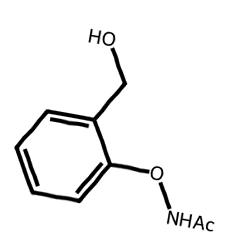 CC(=O)NOc1ccccc1CO